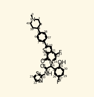 CN1CCC(c2ccc(-c3cc4c(F)cn(C(C(=O)Nc5nccs5)c5cc(F)ccc5O)c(=O)c4s3)cc2)CC1